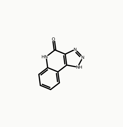 O=c1[nH]c2ccccc2c2[nH]nnc12